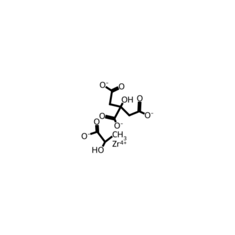 CC(O)C(=O)[O-].O=C([O-])CC(O)(CC(=O)[O-])C(=O)[O-].[Zr+4]